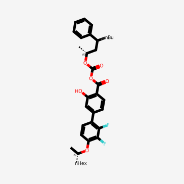 CCCCCC[C@H](C)Oc1ccc(-c2ccc(C(=O)OC(=O)O[C@H](C)CC(CCCC)c3ccccc3)c(O)c2)c(F)c1F